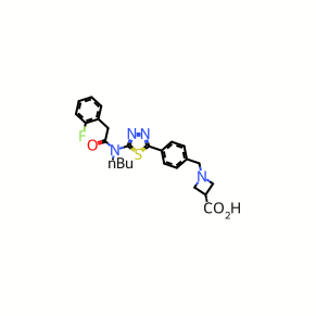 CCCCN(C(=O)Cc1ccccc1F)c1nnc(-c2ccc(CN3CC(C(=O)O)C3)cc2)s1